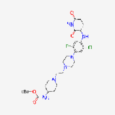 CC(C)(C)OC(=O)NC1CCN(CCN2CCN(c3cc(Cl)c(NC4CCC(=O)NC4=O)cc3F)CC2)CC1